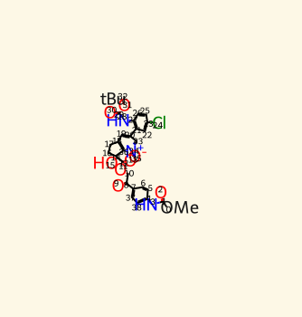 COC(=O)Nc1ccc(C(=O)COC(=O)C2(O)CCc3cc(-c4cc(Cl)ccc4NC(=O)OC(C)(C)C)c[n+]([O-])c32)cc1